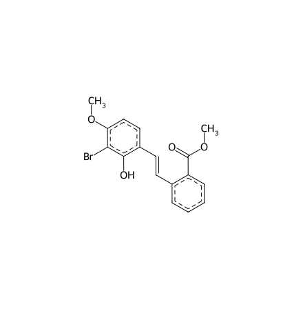 COC(=O)c1ccccc1C=Cc1ccc(OC)c(Br)c1O